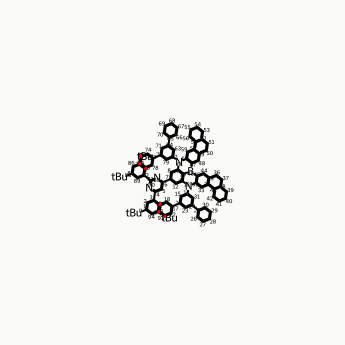 CC(C)(C)c1cc(-c2cc(-c3cc4c5c(c3)N(c3cc(-c6ccccc6)cc(-c6ccccc6)c3)c3cc6c(ccc7ccccc76)cc3B5c3cc5ccc6ccccc6c5cc3N4c3cc(-c4ccccc4)cc(-c4ccccc4)c3)nc(-c3cc(C(C)(C)C)cc(C(C)(C)C)c3)n2)cc(C(C)(C)C)c1